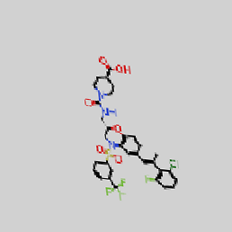 C/C(=C\c1ccc2c(c1)N(S(=O)(=O)c1cccc(C(F)(F)F)c1)C[C@H](CNC(=O)N1CCC(C(=O)O)CC1)O2)c1c(F)cccc1Cl